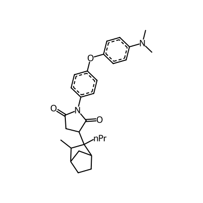 CCCC1(C2CC(=O)N(c3ccc(Oc4ccc(N(C)C)cc4)cc3)C2=O)C2CCC(C2)C1C